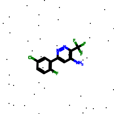 Nc1cc(-c2cc(Cl)ccc2F)nnc1C(F)(F)F